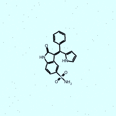 NS(=O)(=O)c1ccc2c(c1)/C(=C(/c1ccccc1)c1ccc[nH]1)C(=O)N2